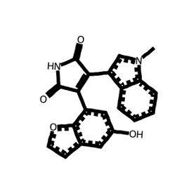 Cn1cc(C2=C(c3cc(O)cc4ccoc34)C(=O)NC2=O)c2ccccc21